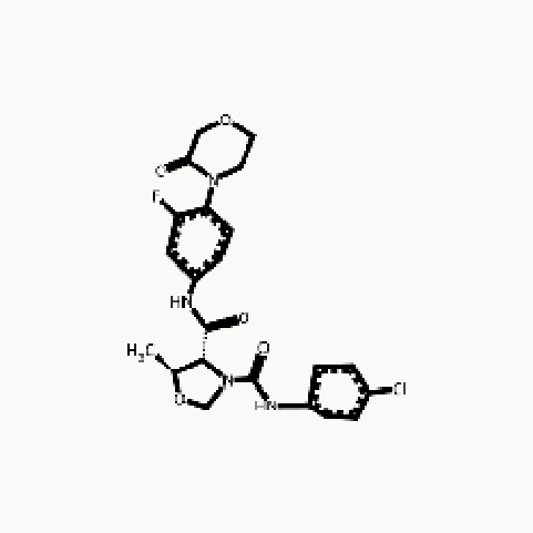 C[C@@H]1OCN(C(=O)Nc2ccc(Cl)cc2)[C@H]1C(=O)Nc1ccc(N2CCOCC2=O)c(F)c1